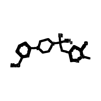 CCC(N)(Cc1cnn(C)c(=O)c1)N1CCN(c2cccc(OC)c2)CC1